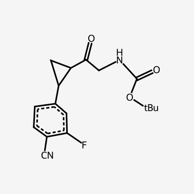 CC(C)(C)OC(=O)NCC(=O)C1CC1c1ccc(C#N)c(F)c1